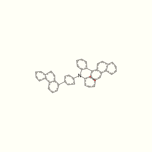 c1ccc(N(c2ccc(-c3cccc4c3ccc3ccccc34)cc2)c2ccccc2-c2cccc3c2ccc2ccccc23)cc1